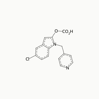 O=C(O)Oc1cc2cc(Cl)ccc2n1Cc1ccncc1